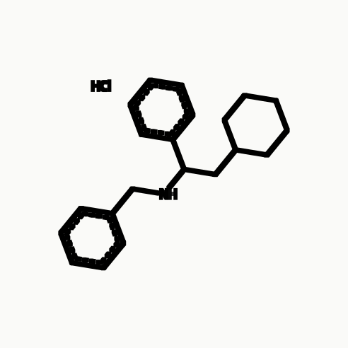 Cl.c1ccc(CNC(CC2CCCCC2)c2ccccc2)cc1